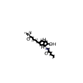 CCCCC(=O)/C=C/[C@@H]1[C@H]2CC(CCCCC(=O)N(C)C)=C[C@H]2C[C@H]1O